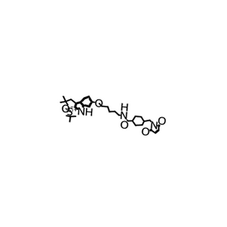 CC(C)(C)Cc1c([S@+]([O-])C(C)(C)C)[nH]c2cc(OCCCCCNC(=O)C3CCC(CN4C(=O)C=CC4=O)CC3)ccc12